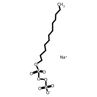 CCCCCCCCCCCCOS(=O)(=O)OOS(=O)(=O)[O-].[Na+]